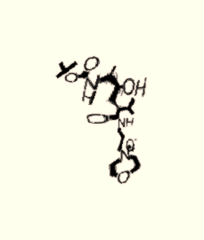 CC(C)[C@H](C[C@H](O)[C@H](C)NC(=O)OC(C)(C)C)C(=O)NCCC[N+]1([O-])CCOCC1